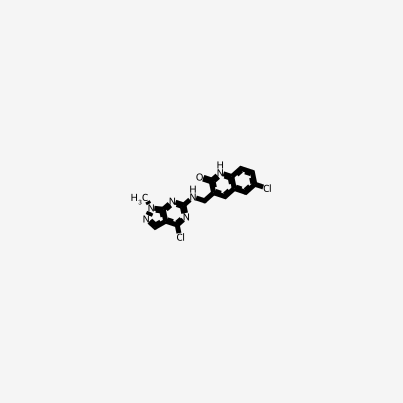 Cn1ncc2c(Cl)nc(NCc3cc4cc(Cl)ccc4[nH]c3=O)nc21